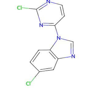 Clc1ccc2c(c1)ncn2-c1ccnc(Cl)n1